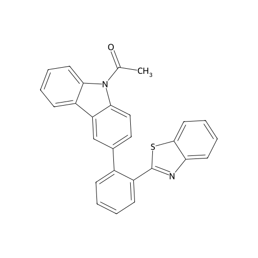 CC(=O)n1c2ccccc2c2cc(-c3ccccc3-c3nc4ccccc4s3)ccc21